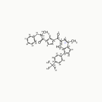 C/C(=N/NC(=O)c1ccc(C(=O)N(C)Cc2ccccn2)s1)c1csc(-c2ccc(C(F)(F)F)cc2)c1O